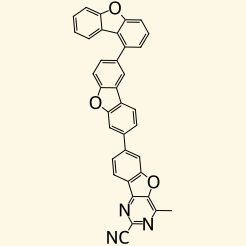 Cc1nc(C#N)nc2c1oc1cc(-c3ccc4c(c3)oc3ccc(-c5cccc6oc7ccccc7c56)cc34)ccc12